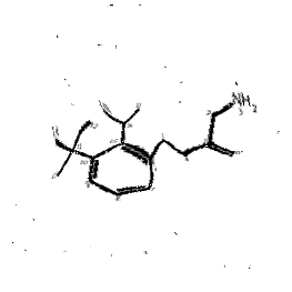 C=C(CN)CCc1cccc(C(C)(C)C)c1C(C)C